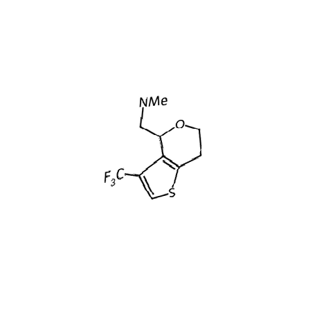 CNCC1OCCc2scc(C(F)(F)F)c21